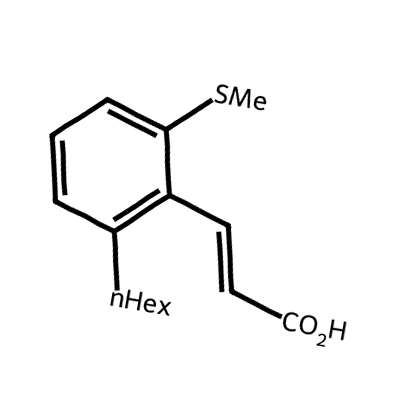 CCCCCCc1cccc(SC)c1C=CC(=O)O